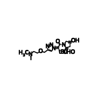 CN(I)CCOCc1cn([C@H](C(=O)N2C[C@H](O)C[C@H]2C=O)C(C)(C)C)nn1